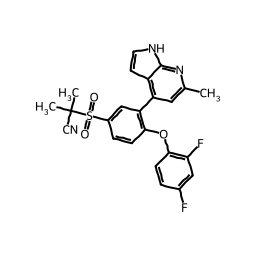 Cc1cc(-c2cc(S(=O)(=O)C(C)(C)C#N)ccc2Oc2ccc(F)cc2F)c2cc[nH]c2n1